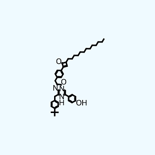 CCCCCCCCCCCCCC1C=C(c2ccc(Cc3nc4c(Cc5ccc(C(C)(C)C)cc5)[nH]c(-c5ccc(O)cc5)cn-4c3=O)cc2)C1=O